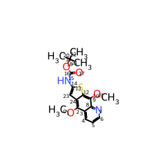 COc1c2cccnc2c(OC)c2sc(NC(=O)OC(C)(C)C)cc12